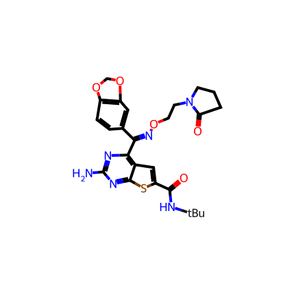 CC(C)(C)NC(=O)c1cc2c(C(=NOCCN3CCCC3=O)c3ccc4c(c3)OCO4)nc(N)nc2s1